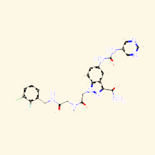 CC(C)N(CC(=O)NCc1cccc(Cl)c1F)C(=O)Cn1nc(C(N)=O)c2cc(NC(=O)Nc3cncnc3)ccc21